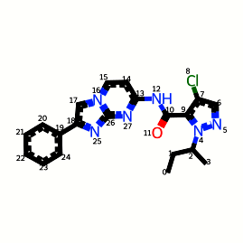 CCC(C)n1ncc(Cl)c1C(=O)Nc1ccn2cc(-c3ccccc3)nc2n1